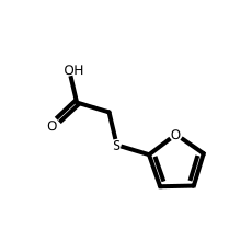 O=C(O)CSc1ccco1